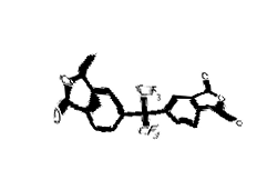 C=C1OC(=O)c2ccc(C(c3ccc4c(c3)C(=O)OC4=O)(C(F)(F)F)C(F)(F)F)cc21